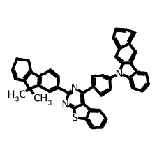 CC1(C)C2=C(CCC=C2)c2ccc(-c3nc(-c4ccc(-n5c6ccccc6c6cc7ccccc7cc65)cc4)c4c(n3)sc3ccccc34)cc21